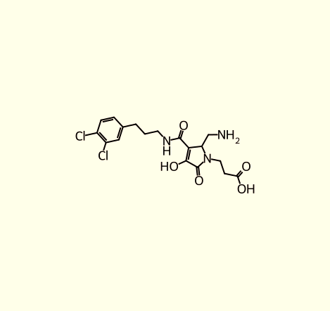 NCC1C(C(=O)NCCCc2ccc(Cl)c(Cl)c2)=C(O)C(=O)N1CCC(=O)O